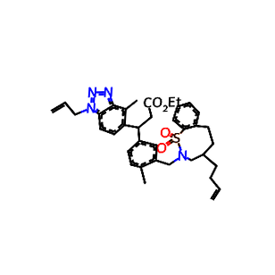 C=CCCC1CCc2ccccc2S(=O)(=O)N(Cc2cc(C(CC(=O)OCC)c3ccc4c(nnn4CC=C)c3C)ccc2C)C1